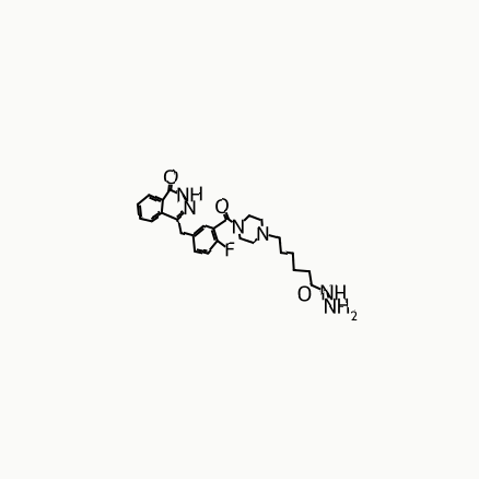 NNC(=O)CCCCCN1CCN(C(=O)c2cc(Cc3n[nH]c(=O)c4ccccc34)ccc2F)CC1